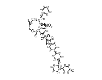 CN1CCOC(=O)c2cc(S(=O)(=O)NC(=O)c3ccc(N4CCN(CC5=C(c6ccc(Cl)cc6)CCCC5)CC4)cc3)cc([N+](=O)[O-])c2N[C@@H](CSc2ccccc2)CC1